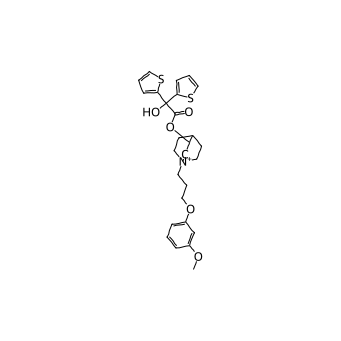 COc1cccc(OCCC[N+]23CCC(CC2)C(OC(=O)C(O)(c2cccs2)c2cccs2)C3)c1